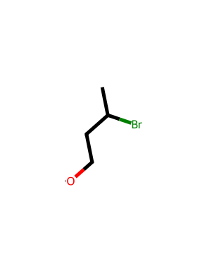 CC(Br)CC[O]